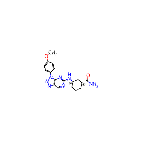 COc1ccc(-n2nnc3cnc(N[C@@H]4CCC[C@@H](C(N)=O)C4)nc32)cc1